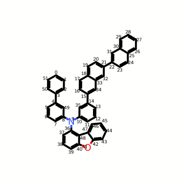 c1ccc(-c2cccc(N(c3cccc(-c4ccc5ccc(-c6ccc7ccccc7c6)cc5c4)c3)c3cccc4oc5ccccc5c34)c2)cc1